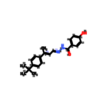 C/C(=C\C=N\NC(=O)c1ccc(O)cc1)c1ccc(C(C)(C)C)cc1